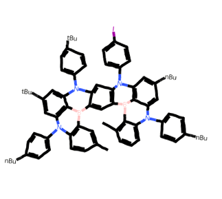 CCCCc1ccc(N2c3ccc(C)cc3B3c4cc5c(cc4N(c4ccc(C(C)(C)C)cc4)c4cc(C(C)(C)C)cc2c43)N(c2ccc(I)cc2)c2cc(CCCC)cc3c2B5c2c(C)cccc2N3c2ccc(CCCC)cc2)cc1